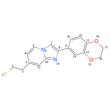 FCCc1ccn2cc(-c3ccc4c(c3)OCCO4)nc2c1